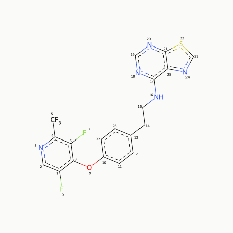 Fc1cnc(C(F)(F)F)c(F)c1Oc1ccc(CCNc2ncnc3scnc23)cc1